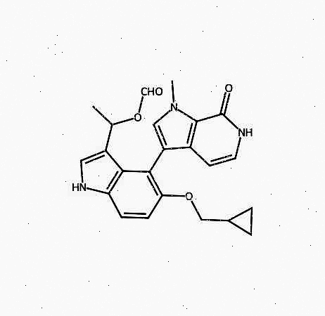 CC(OC=O)c1c[nH]c2ccc(OCC3CC3)c(-c3cn(C)c4c(=O)[nH]ccc34)c12